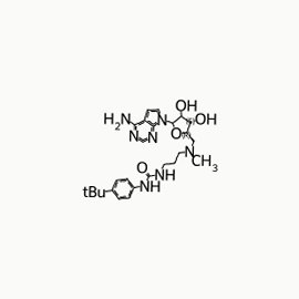 CN(CCCNC(=O)Nc1ccc(C(C)(C)C)cc1)C[C@H]1OC(n2ccc3c(N)ncnc32)C(O)[C@@H]1O